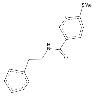 CSc1ccc(C(=O)NCCc2ccccc2)cn1